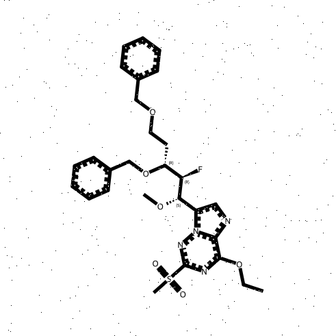 CCOc1nc(S(C)(=O)=O)nn2c([C@H](OC)[C@H](F)[C@@H](CCOCc3ccccc3)OCc3ccccc3)cnc12